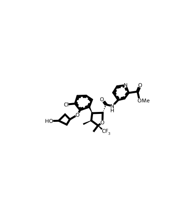 COC(=O)c1cc(NC(=O)[C@@H]2O[C@@](C)(C(F)(F)F)[C@@H](C)[C@H]2c2cccc(Cl)c2OC2CC(O)C2)ccn1